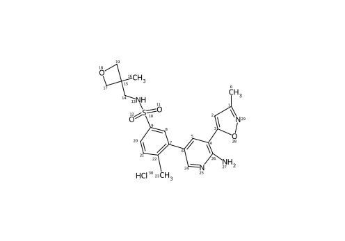 Cc1cc(-c2cc(-c3cc(S(=O)(=O)NCC4(C)COC4)ccc3C)cnc2N)on1.Cl